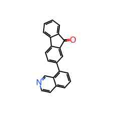 O=C1c2ccccc2-c2ccc(-c3cccc4ccncc34)cc21